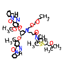 CCCOCCOCCN(CCCC(=O)N(C)CC(C)(C)SSCCCC(=O)C(C)C)c1cc(COc2cc3c(cc2C)C(=O)N2c4ccccc4C[C@H]2C=N3)cc(COc2cc3c(cc2OC)C(=O)N2c4ccccc4C[C@H]2C=N3)c1